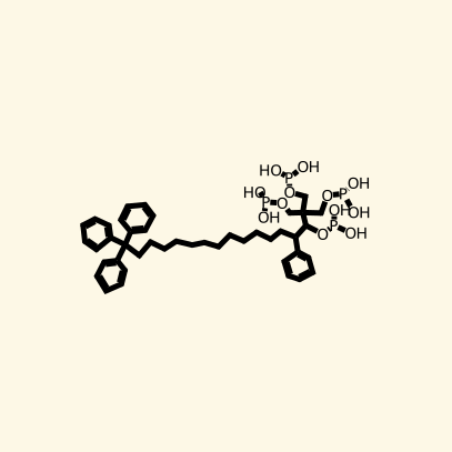 OP(O)OCC(COP(O)O)(COP(O)O)C(OP(O)O)C(CCCCCCCCCCCCC(c1ccccc1)(c1ccccc1)c1ccccc1)c1ccccc1